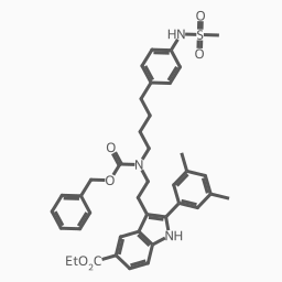 CCOC(=O)c1ccc2[nH]c(-c3cc(C)cc(C)c3)c(CCN(CCCCc3ccc(NS(C)(=O)=O)cc3)C(=O)OCc3ccccc3)c2c1